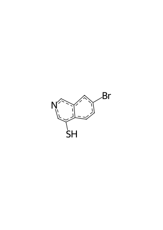 Sc1cncc2cc(Br)ccc12